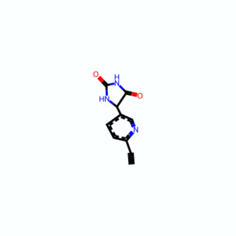 C#Cc1ccc(C2NC(=O)NC2=O)cn1